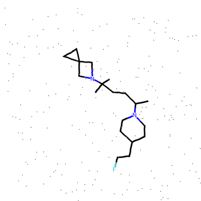 CC(CCC(C)(C)N1CC2(CC2)C1)N1CCC(CCF)CC1